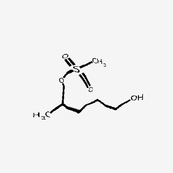 CC(CCCO)OS(C)(=O)=O